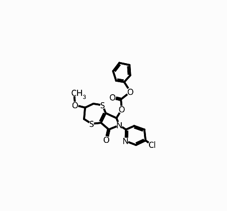 COC1CSC2=C(SC1)C(OC(=O)Oc1ccccc1)N(c1ccc(Cl)cn1)C2=O